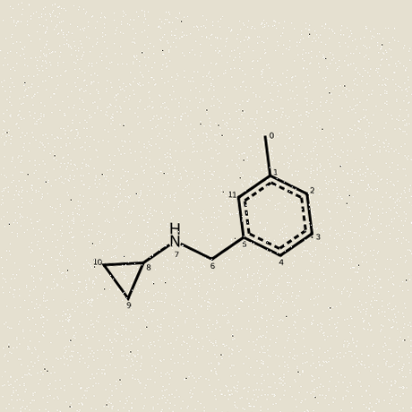 Cc1c[c]cc(CNC2CC2)c1